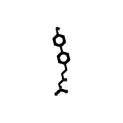 [CH2][C@H](C)c1ccc(-c2ccc(CCNC[SH](=O)=O)cc2)cc1